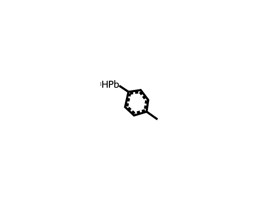 Cc1cc[c]([PbH])cc1